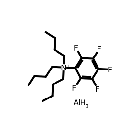 CCCC[N+](CCCC)(CCCC)c1c(F)c(F)c(F)c(F)c1F.[AlH3]